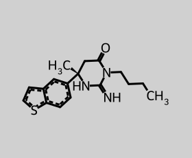 CCCCN1C(=N)N[C@](C)(c2ccc3sccc3c2)CC1=O